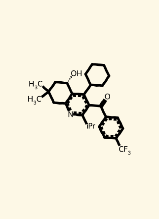 CC(C)c1nc2c(c(C3CCCCC3)c1C(=O)c1ccc(C(F)(F)F)cc1)[C@@H](O)CC(C)(C)C2